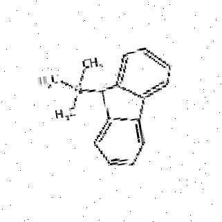 C[Si](C)(C)[C]1c2ccccc2-c2ccccc21